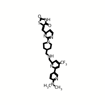 CN(C)c1ccc(-c2cc(C(F)(F)F)cc(CNCC3CCN(c4nccc(C=C5SC(=O)NC5=O)n4)CC3)n2)cn1